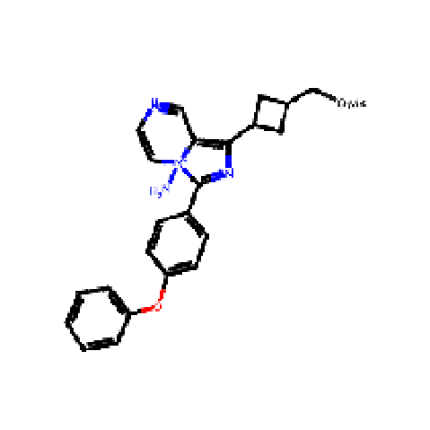 COCC1CC(C2=C3C=NC=C[N+]3(N)C(c3ccc(Oc4ccccc4)cc3)=N2)C1